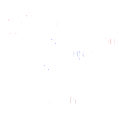 CC[C@@]1(O)C(=O)OCc2c1cc1n(c2=O)Cc2c-1nc1cc(F)c(Br)c3c1c2[C@@H](NC(=O)CO)CC3